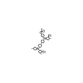 C=CC(=O)Oc1ccc(N(c2ccc(-c3ccc(N(c4ccc(C)cc4)c4ccc(C)c(CC)c4)cc3)cc2)c2ccc(C)c(CC)c2)cc1